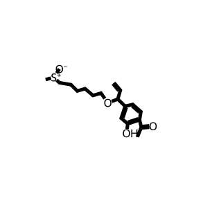 C=CC(OCCCCCC[S+](C)[O-])c1ccc(C(C)=O)c(O)c1